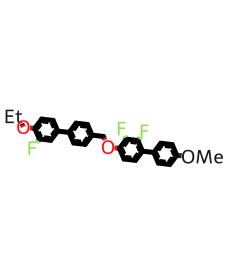 CCOc1ccc(-c2ccc(COc3ccc(-c4ccc(OC)cc4)c(F)c3F)cc2)cc1F